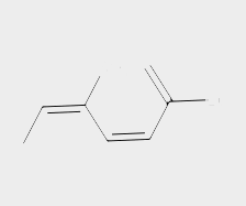 C=C(/C=C\C(=C/C)S(=O)(=O)O)CC